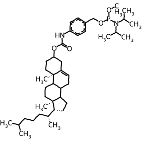 COP(OCc1ccc(NC(=O)OC2CC[C@@]3(C)C(=CCC4C3CC[C@@]3(C)C4CC[C@@H]3[C@H](C)CCCC(C)C)C2)cc1)N(C(C)C)C(C)C